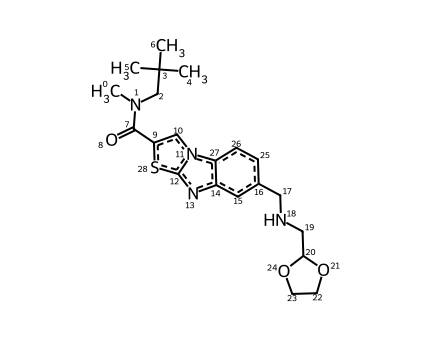 CN(CC(C)(C)C)C(=O)c1cn2c(nc3cc(CNCC4OCCO4)ccc32)s1